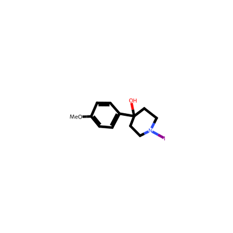 COc1ccc(C2(O)CCN(I)CC2)cc1